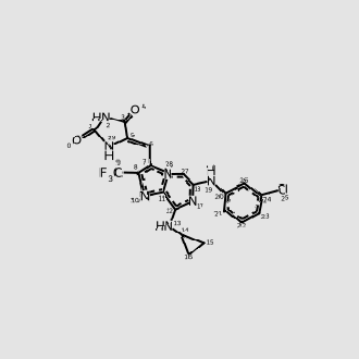 O=C1NC(=O)/C(=C/c2c(C(F)(F)F)nc3c(NC4CC4)nc(Nc4cccc(Cl)c4)cn23)N1